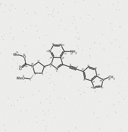 COC[C@H]1CC(n2nc(C#Cc3ccc4c(c3)ncn4C)c3c(N)ncnc32)CN1C(=O)OC(C)(C)C